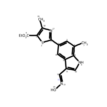 CCOC(=O)c1sc(-c2cc(C)c3[nH]cc(/C=N/O)c3c2)nc1C